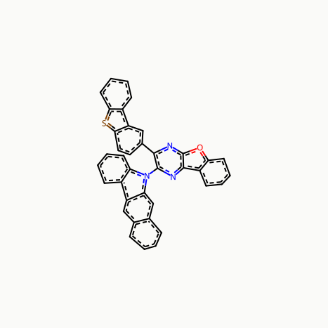 c1ccc2cc3c(cc2c1)c1ccccc1n3-c1nc2c(nc1-c1ccc3sc4ccccc4c3c1)oc1ccccc12